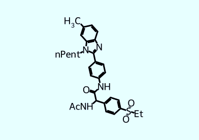 CCCCCn1c(-c2ccc(NC(=O)C(NC(C)=O)c3ccc(S(=O)(=O)CC)cc3)cc2)nc2ccc(C)cc21